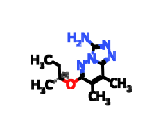 CC[C@@H](C)Oc1nn2c(N)nnc2c(C)c1C